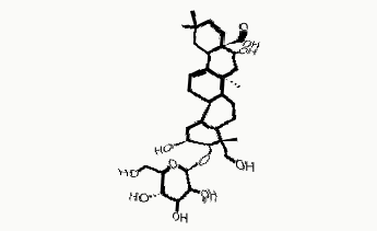 CC1(C)CC[C@@]2(C(=O)O)C(C1)C1=CCC3C4C[C@H](O)[C@H](O[C@@H]5OC(CO)[C@@H](O)C(O)C5O)[C@@](C)(CO)C4CCC3[C@]1(C)C[C@H]2O